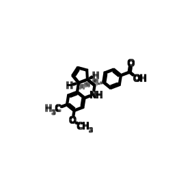 COc1cc2c(cc1C)[C@@H]1C=CC[C@@H]1[C@H](c1ccc(C(=O)O)cc1)N2